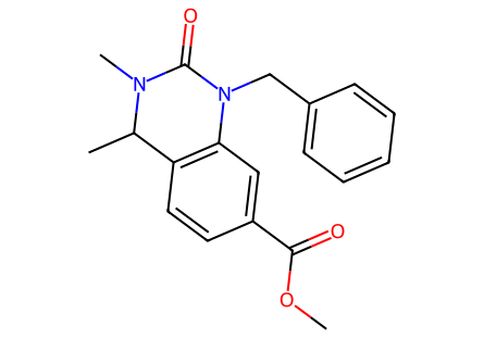 COC(=O)c1ccc2c(c1)N(Cc1ccccc1)C(=O)N(C)C2C